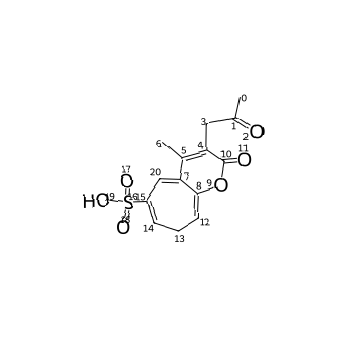 CC(=O)Cc1c(C)c2c(oc1=O)=CCC=C(S(=O)(=O)O)C=2